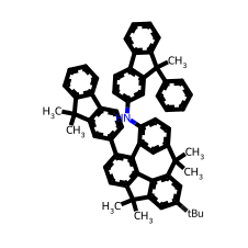 CC(C)(C)c1cc2c3c(c1)C(C)(C)c1ccc(-c4ccc5c(c4)C(C)(C)c4ccccc4-5)c(c1-3)-c1cc(ccc1Nc1ccc3c(c1)C(C)(c1ccccc1)c1ccccc1-3)C2(C)C